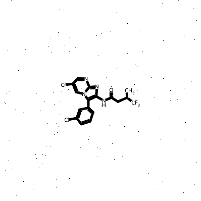 CC(CC(=O)Nc1nc2ncc(Cl)cn2c1-c1cccc(Cl)c1)C(F)(F)F